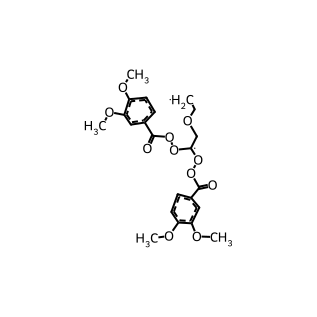 [CH2]COC[C](OOC(=O)c1ccc(OC)c(OC)c1)OOC(=O)c1ccc(OC)c(OC)c1